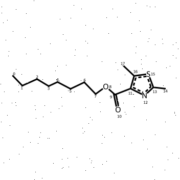 CCCCCCCCOC(=O)c1nc(C)sc1C